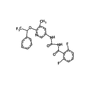 Cc1cc(NC(=O)NC(=O)c2c(F)cccc2F)cnc1OC(c1ccccc1)C(F)(F)F